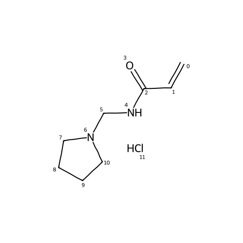 C=CC(=O)NCN1CCCC1.Cl